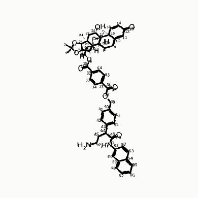 CC1(C)O[C@@H]2C[C@H]3[C@@H]4CCC5=CC(=O)C=C[C@]5(C)[C@@]4(F)[C@@H](O)C[C@]3(C)[C@]2(C(=O)COC(=O)c2ccc(C(=O)OCc3ccc(C(CCN)C(=O)Nc4ccc5ccccc5c4)cc3)cc2)O1